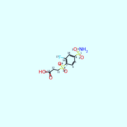 NS(=O)(=O)c1ccc(S(=O)(=O)CCC(=O)O)c(F)c1